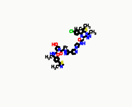 Cc1ncsc1-c1ccc([C@H](C)NC(=O)[C@@H]2C[C@@H](O)CN2C(=O)[C@@H](C(C)C)n2cc(-c3ccnc(N4CCC(NC(=O)C[C@@H]5N=C(c6ccc(Cl)cc6)c6c(sc(C)c6C)-n6c(C)nnc65)C4)c3)cn2)cc1